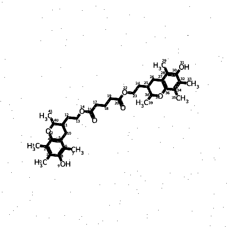 Cc1c(C)c2c(c(C)c1O)CC(CCOC(=O)CCCC(=O)OCCC1Cc3c(C)c(O)c(C)c(C)c3OC1C)C(C)O2